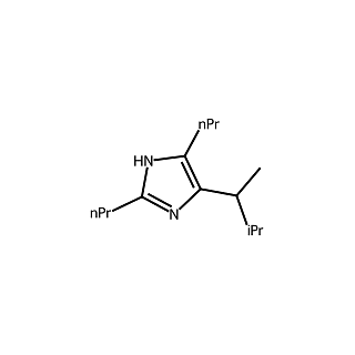 CCCc1nc(C(C)C(C)C)c(CCC)[nH]1